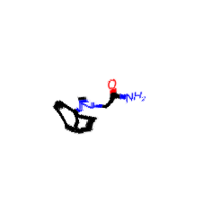 CN(CC(N)=O)C12CCCC(CC1)C2